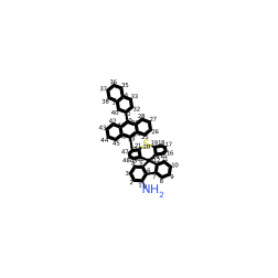 Nc1cccc2c1-c1ccccc1C21c2ccccc2Sc2c(-c3c4ccccc4c(-c4ccc5ccccc5c4)c4ccccc34)cccc21